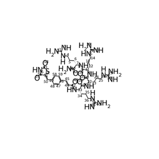 N=C(N)NCCC[C@H](NC(=O)[C@H](CCCNC(=N)N)NC(=O)[C@H](CCCNC(=N)N)NC(=O)[C@H](CCCNC(=N)N)NC(=O)/C=C/c1ccc(/C=C2\SC(=O)NC2=O)cc1)C(N)=O